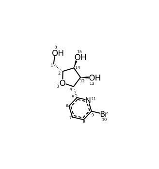 OC[C@H]1O[C@@H](c2cccc(Br)n2)[C@H](O)[C@@H]1O